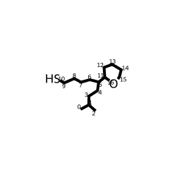 CC(C)CCC(CCCCS)C1CCCCO1